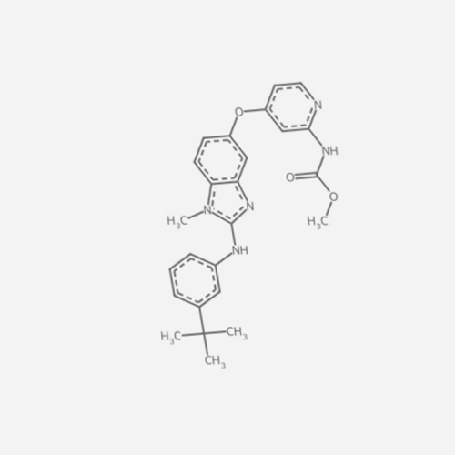 COC(=O)Nc1cc(Oc2ccc3c(c2)nc(Nc2cccc(C(C)(C)C)c2)n3C)ccn1